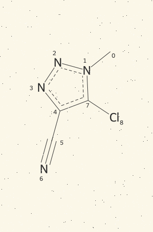 Cn1nnc(C#N)c1Cl